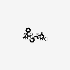 CC1=NC(C(=O)N2CCCC[C@H]2Cc2cn3nc(Cl)cc(C)c3n2)C(c2ccccc2)S1